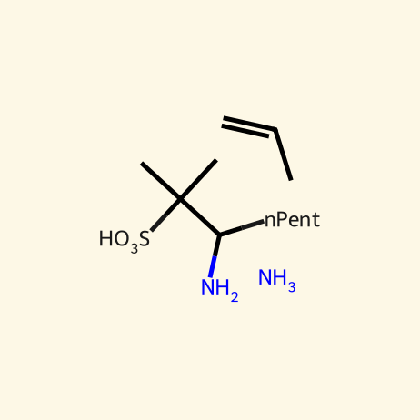 C=CC.CCCCCC(N)C(C)(C)S(=O)(=O)O.N